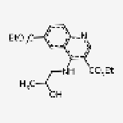 CCOC(=O)c1ccc2ncc(C(=O)OCC)c(NCC(C)O)c2c1